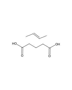 CC=CC.O=C(O)CCCC(=O)O